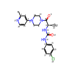 Cc1cc(N2CCN(C(=O)[C@H](NC(=O)Nc3ccc(Cl)cc3)C(C)(C)C)CC2)ccn1